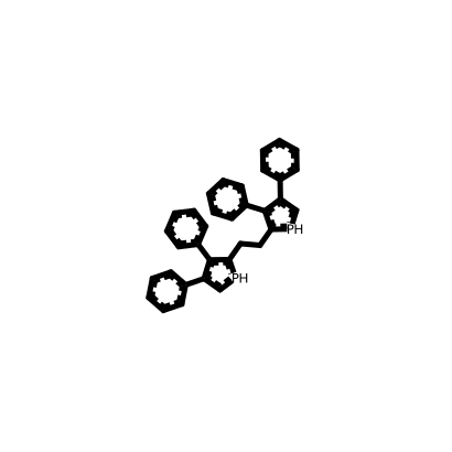 c1ccc(-c2c[pH]c(CCc3[pH]cc(-c4ccccc4)c3-c3ccccc3)c2-c2ccccc2)cc1